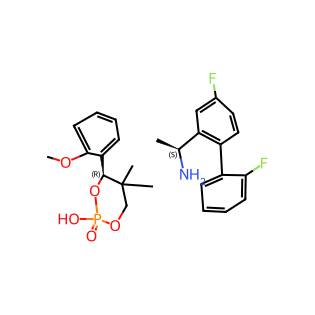 COc1ccccc1[C@@H]1OP(=O)(O)OCC1(C)C.C[C@H](N)c1cc(F)ccc1-c1ccccc1F